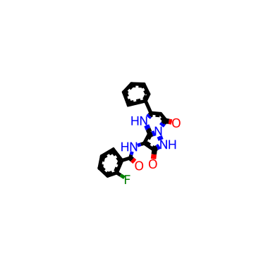 O=C(Nc1c(=O)[nH]n2c(=O)cc(-c3ccccc3)[nH]c12)c1ccccc1F